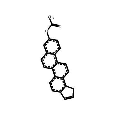 CC(=O)Oc1ccc2c(ccc3c4ccc5c(c4ccc23)CC=C5)c1